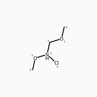 COC[SiH](Cl)OC